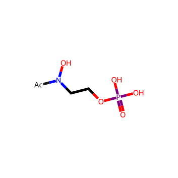 CC(=O)N(O)CCOP(=O)(O)O